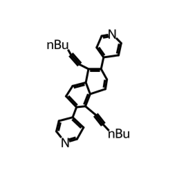 CCCCC#Cc1c(-c2ccncc2)ccc2c(C#CCCCC)c(-c3ccncc3)ccc12